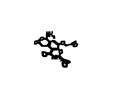 NC(=O)c1cc(OCC2CO2)c(OCC2CO2)c(C(N)=O)c1CC1CO1